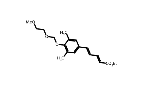 CCOC(=O)C=CC=Cc1cc(C)c(OCOCCOC)c(C)c1